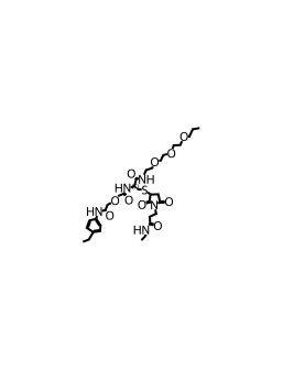 CCCOCCOCCOCCNC(=O)[C@@H](CSC1CC(=O)N(CCC(=O)NCC)C1=O)NC(=O)COCC(=O)Nc1ccc(CC)cc1